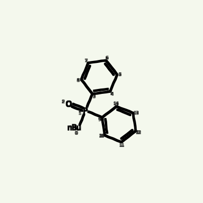 CCCCP(=O)(c1ccccc1)c1ccccc1